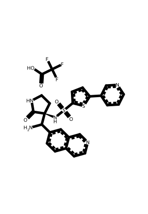 NC(c1ccc2ccncc2c1)[C@@]1(NS(=O)(=O)c2ccc(-c3cccnc3)s2)CCNC1=O.O=C(O)C(F)(F)F